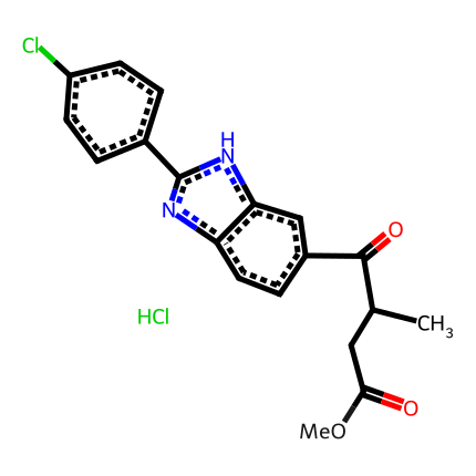 COC(=O)CC(C)C(=O)c1ccc2nc(-c3ccc(Cl)cc3)[nH]c2c1.Cl